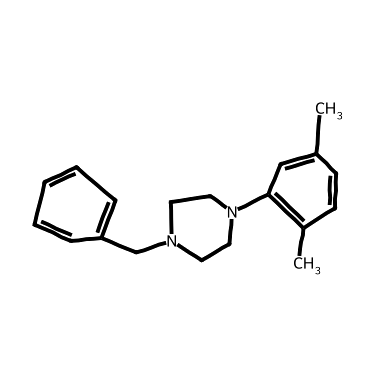 Cc1ccc(C)c(N2CCN(Cc3ccccc3)CC2)c1